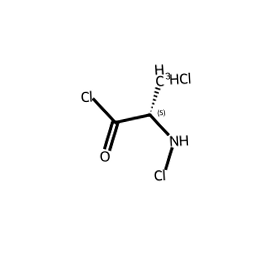 C[C@H](NCl)C(=O)Cl.Cl